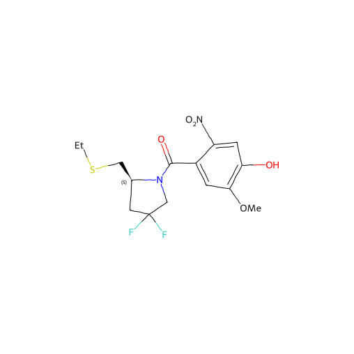 CCSC[C@@H]1CC(F)(F)CN1C(=O)c1cc(OC)c(O)cc1[N+](=O)[O-]